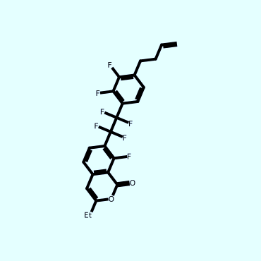 C=CCCc1ccc(C(F)(F)C(F)(F)c2ccc3cc(CC)oc(=O)c3c2F)c(F)c1F